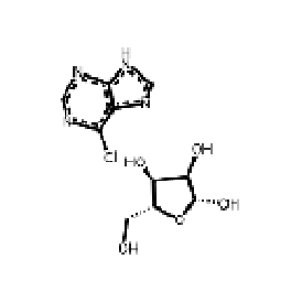 Clc1ncnc2[nH]cnc12.OC[C@H]1O[C@@H](O)[C@H](O)[C@@H]1O